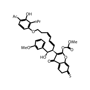 CCCc1c(OCC/C=C\C=C\[C@@H](c2c(OC(=O)OC)oc3c(c2=O)=CCC(=S)C=3)[C@@H](O)c2cccc(OC)c2)ccc(C(C)=O)c1O